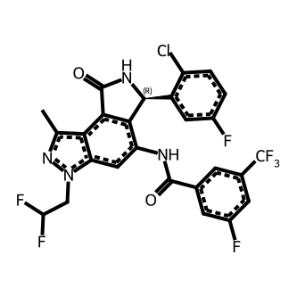 Cc1nn(CC(F)F)c2cc(NC(=O)c3cc(F)cc(C(F)(F)F)c3)c3c(c12)C(=O)N[C@H]3c1cc(F)ccc1Cl